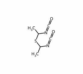 CC(N=C=O)SC(C)N=C=O